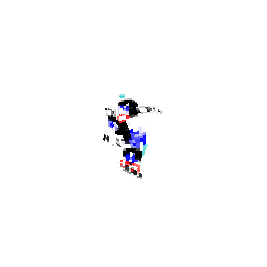 COC(COc1cc(-c2nnn([C@@H]3CCN(C(=O)OC(C)(C)C)C[C@@H]3F)c2C)cn2ncc(C#N)c12)c1ccc(F)cn1